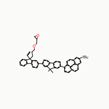 C=CC1(CCCOCC2CO2)c2ccccc2-c2ccc(-c3ccc4c(c3)C(C)(C)c3cc(-c5ccc6ccc7cc(C(C)(C)C)cc8ccc5c6c78)ccc3-4)cc21